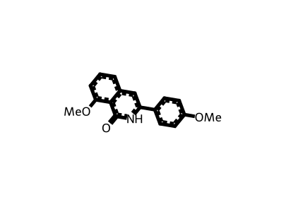 COc1ccc(-c2cc3cccc(OC)c3c(=O)[nH]2)cc1